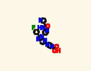 O=C(Nc1cc(-n2c(-c3ccc(F)cc3)nc3ccc(N4CCN(C(=O)O)CC4)nc32)ccn1)c1cccnc1